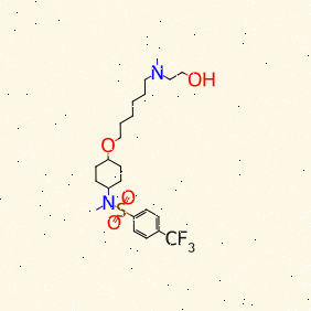 CN(CCO)CCCCCCOC1CCC(N(C)S(=O)(=O)c2ccc(C(F)(F)F)cc2)CC1